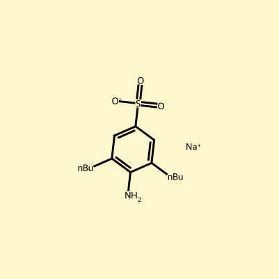 CCCCc1cc(S(=O)(=O)[O-])cc(CCCC)c1N.[Na+]